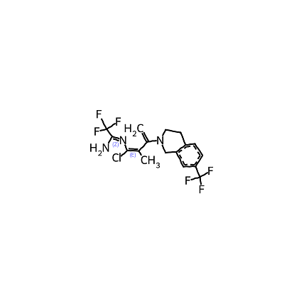 C=C(/C(C)=C(Cl)\N=C(/N)C(F)(F)F)N1CCc2ccc(C(F)(F)F)cc2C1